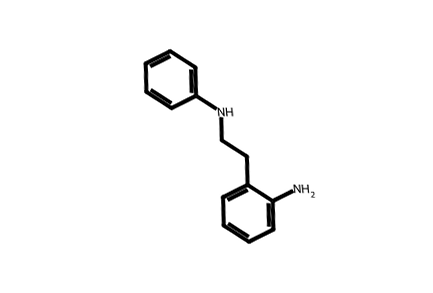 Nc1ccccc1CCNc1ccccc1